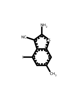 Cc1cc(I)c2c(C#N)c(N)sc2c1